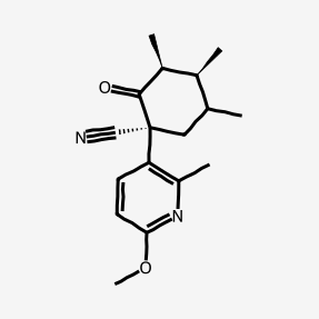 COc1ccc([C@]2(C#N)CC(C)[C@H](C)[C@H](C)C2=O)c(C)n1